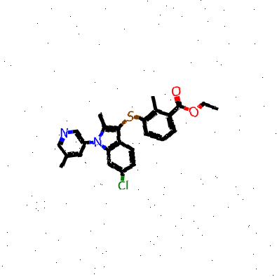 CCOC(=O)c1cccc(Sc2c(C)n(-c3cncc(C)c3)c3cc(Cl)ccc23)c1C